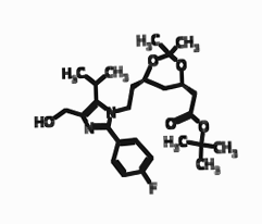 CC(C)c1c(CO)nc(-c2ccc(F)cc2)n1CC[C@@H]1C[C@H](CC(=O)OC(C)(C)C)OC(C)(C)O1